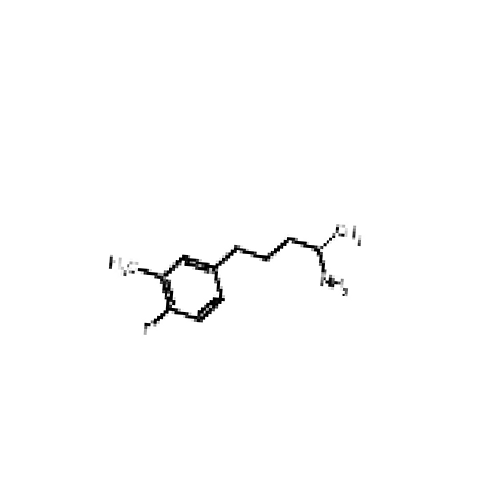 Cc1cc(CCC[C@H](C)N)ccc1F